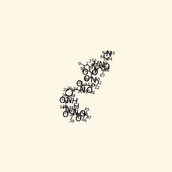 CC[C@H](C)[C@@H]([C@@H](CC(=O)N1CCCC1[C@H](OC)[C@@H](C)C(=O)N(C)CCc1cccc(NC(=O)[C@H](C)NC(=O)[C@H](C)NC(=O)OC(C)(C)C)c1)OC)N(C)C(=O)[C@@H](NC(=O)[C@@H]1CCN(C)C1)C(C)C